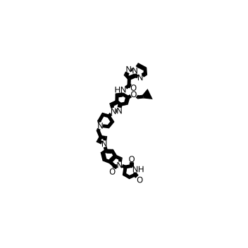 O=C1CCC(N2Cc3cc(N4CC(CN5CCC(n6cc7cc(NC(=O)c8cnn9cccnc89)c(OCC8CC8)cc7n6)CC5)C4)ccc3C2=O)C(=O)N1